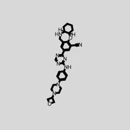 N#Cc1cc(-c2ncnc(Nc3ccc(N4CCN(C5COC5)CC4)cc3)n2)cc2c1O[C@H]1CCCC[C@H]1NC2